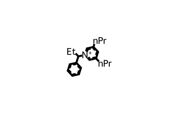 CCCc1cc(CCC)c[n+](C(CC)c2ccccc2)c1